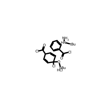 CC(C)(C)NN.CCCCOC1(Cl)C=CC(C(=O)Cl)C=C1.Cl.O=C(Cl)c1ccccc1